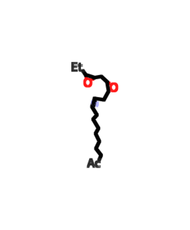 CCC1OC1CC1OC1C/C=C\CCCCCCCC(C)=O